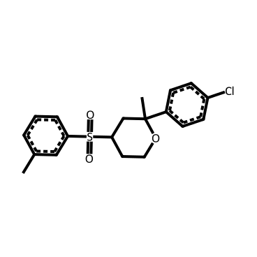 Cc1cccc(S(=O)(=O)C2CCOC(C)(c3ccc(Cl)cc3)C2)c1